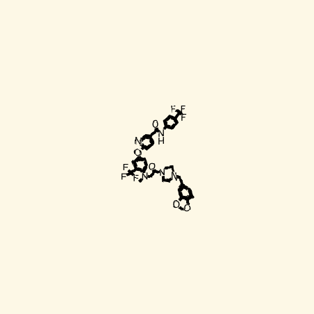 CN(CC(=O)N1CCN(Cc2ccc3c(c2)OCO3)CC1)c1ccc(Oc2ccc(C(=O)Nc3ccc(C(F)(F)F)cc3)cn2)cc1C(F)(F)F